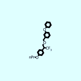 CCCOc1ccc(C(COCc2cccc(Oc3ccccc3)c2)C(F)(F)F)cc1